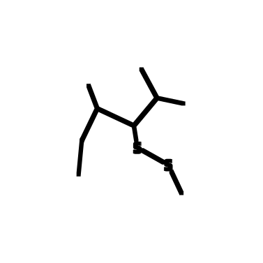 CCC(C)C(SSC)C(C)C